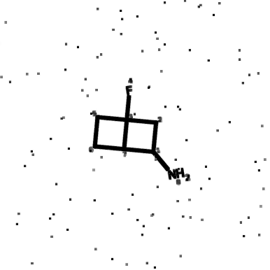 NC1CC2(F)CCC12